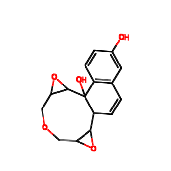 Oc1ccc2c(c1)C=CC1C3OC3COCC3OC3C21O